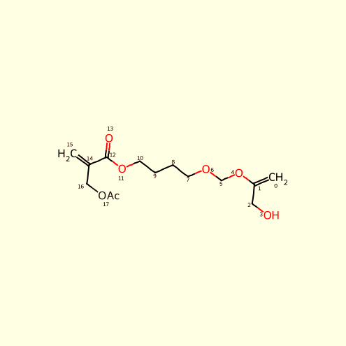 C=C(CO)OCOCCCCOC(=O)C(=C)COC(C)=O